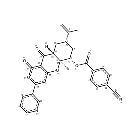 C=C(C)[C@@H]1C[C@H](OC(=O)c2ccc(C#N)cc2)[C@@]2(C)Oc3cc(-c4cccnc4)oc(=O)c3C(=O)[C@@H]2C1